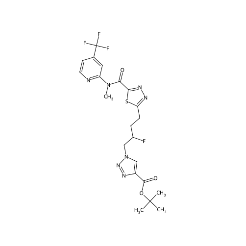 CN(C(=O)c1nnc(CCC(F)Cn2cc(C(=O)OC(C)(C)C)nn2)s1)c1cc(C(F)(F)F)ccn1